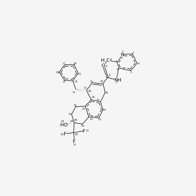 Cc1ncccc1NC(=O)C1=C[C@@H](Cc2ccccc2)c2c(ccc3c2CC[C@](O)(C(F)(F)F)C3)C1